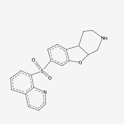 O=S(=O)(c1ccc2c(c1)OC1CNCCC21)c1cccc2cccnc12